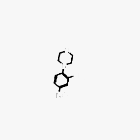 O=Nc1ccc(N2CCNCC2)c(C(F)(F)F)c1